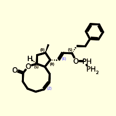 C[C@@H]1C[C@@H]2OC(=O)CCC/C=C\CC2[C@H]1/C=C/[C@H](CCc1ccccc1)OPP